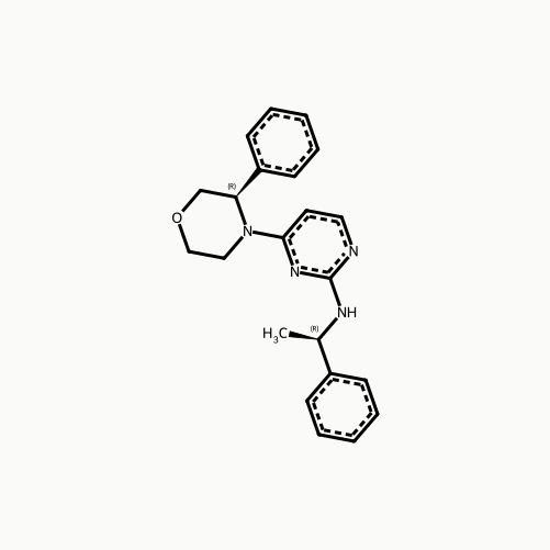 C[C@@H](Nc1nccc(N2CCOC[C@H]2c2ccccc2)n1)c1ccccc1